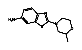 CC1CN(c2nc3ccc(N)cc3s2)CCO1